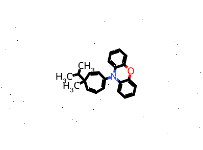 CC(C)C1(C)C=CC=C(N2c3ccccc3Oc3ccccc32)C=C1